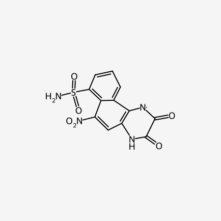 NS(=O)(=O)c1cccc2c3c(cc([N+](=O)[O-])c12)NC(=O)C(=O)[N]3